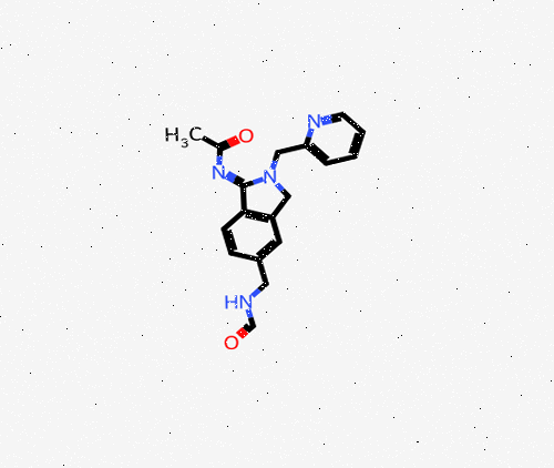 CC(=O)N=C1c2ccc(CNC=O)cc2CN1Cc1ccccn1